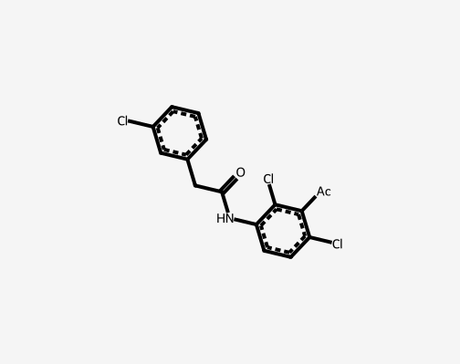 CC(=O)c1c(Cl)ccc(NC(=O)Cc2cccc(Cl)c2)c1Cl